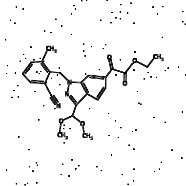 CCOC(=O)C(=O)c1ccc2c(C(OC)OC)nn(Cc3c(C)cccc3C#N)c2c1